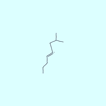 CCCC=[C]CC(C)C